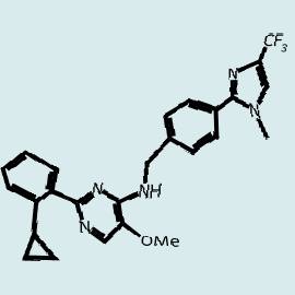 COc1cnc(-c2ccccc2C2CC2)nc1NCc1ccc(-c2nc(C(F)(F)F)cn2C)cc1